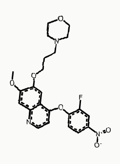 COc1cc2nccc(Oc3ccc([N+](=O)[O-])cc3F)c2cc1OCCCN1CCOCC1